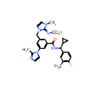 Cc1cc(C(NC(=O)c2cc(Cn3ccn(C)/c3=N\C(=O)O)cc(-n3ccnc3C)c2)C2CC2)ccc1F